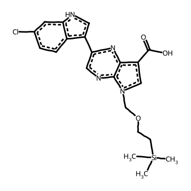 C[Si](C)(C)CCOCn1cc(C(=O)O)c2nc(-c3c[nH]c4cc(Cl)ccc34)cnc21